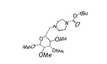 COC1OC(CN2CCN(C(=O)OC(C)(C)C)CC2)C(OC)C(OC)C1OC